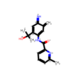 C=C1C=C(NC(=O)c2cccc(C)n2)C(C(C)(C)O)=CC1=N